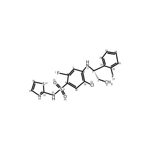 CC[C@H](Nc1cc(F)c(S(=O)(=O)Nc2nccs2)cc1Cl)c1ccccc1F